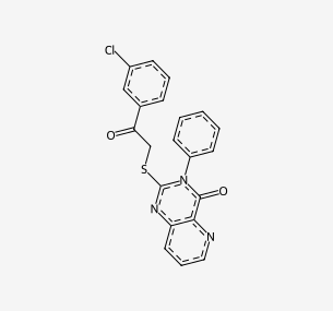 O=C(CSc1nc2cccnc2c(=O)n1-c1ccccc1)c1cccc(Cl)c1